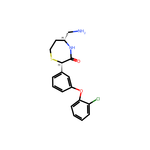 NC[C@H]1CCS[C@@H](c2cccc(Oc3ccccc3Cl)c2)C(=O)N1